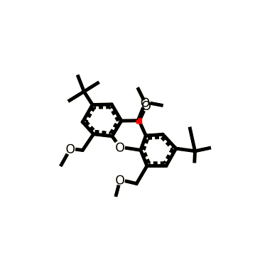 COCc1cc(C(C)(C)C)cc(COC)c1Oc1c(COC)cc(C(C)(C)C)cc1COC